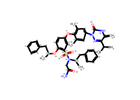 BC(B)C1=NN(c2cc(C)c(Oc3ccc(OB(C)Cc4ccccc4)c(S(=O)(=O)N(CC(N)=O)B(C)Cc4ccccc4)c3)c(C)c2)C(=O)NC1=C